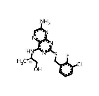 C[C@H](CO)Nc1nc(SCc2cccc(Cl)c2F)nc2nc(N)cnc12